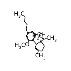 C=C(C)[C@@H]1CCC(C)=CC1c1c(O)cc(CCCCC)cc1OC